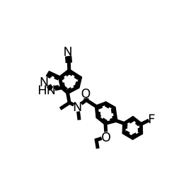 CCOc1cc(C(=O)N(C)C(C)c2ccc(C#N)c3cn[nH]c23)ccc1-c1cccc(F)c1